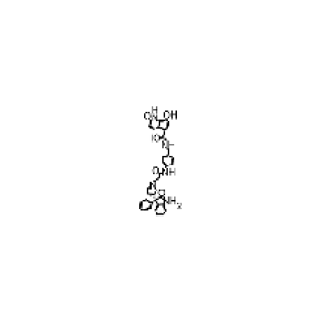 NC(=O)C(c1ccccc1)(c1ccccc1)[C@@H]1CCN(CCC(=O)Nc2ccc(CNC[C@H](O)c3ccc(O)c4[nH]c(=O)ccc34)cc2)C1